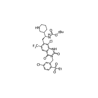 CCS(=O)(=O)c1ccc(Cl)cc1Cn1c(=O)[nH]c2c(Cl)c(C[C@H](NC(=O)OC(C)(C)C)C3CCCNC3)c(C(F)(F)F)cc2c1=O